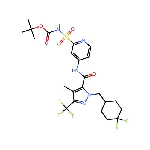 Cc1c(C(F)(F)F)nn(CC2CCC(F)(F)CC2)c1C(=O)Nc1ccnc(S(=O)(=O)NC(=O)OC(C)(C)C)c1